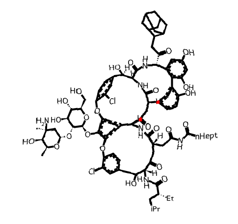 CCCCCCCC(=O)NC(=O)C[C@@H]1CC(=O)[C@H](NC(=O)[C@H](CC)CC(C)C)[C@H](O)c2ccc(c(Cl)c2)Oc2cc3cc(c2O[C@@H]2O[C@H](CO)[C@@H](O)[C@H](O)[C@H]2O[C@H]2C[C@](C)(N)[C@H](O)[C@H](C)O2)Oc2ccc(cc2Cl)[C@@H](O)[C@@H]2NC(=O)[C@H](CC(=O)[C@@H]3NC1=O)c1ccc(O)c(c1)-c1c(O)cc(O)cc1[C@@H](C(=O)CC1C3CC4CC(C3)CC1C4)NC2=O